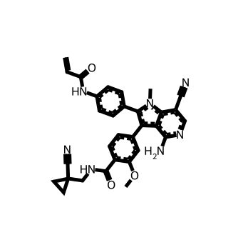 C=CC(=O)Nc1ccc(-c2c(-c3ccc(C(=O)NCC4(C#N)CC4)c(OC)c3)c3c(N)ncc(C#N)c3n2C)cc1